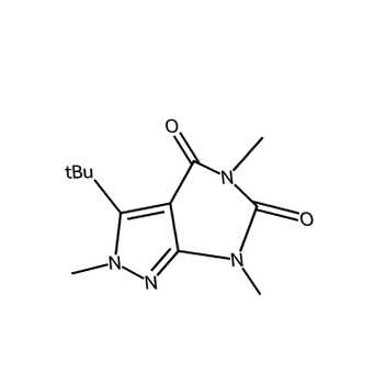 Cn1nc2c(c1C(C)(C)C)c(=O)n(C)c(=O)n2C